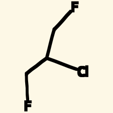 FCC(Cl)CF